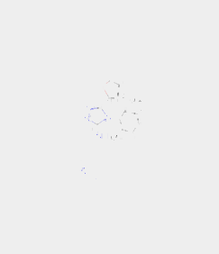 COc1cccc(OC)c1-n1c(NSCCN)nnc1-c1ccco1